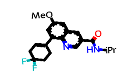 COc1cc(C2=CCC(F)(F)CC2)c2ncc(C(=O)NC(C)C)cc2c1